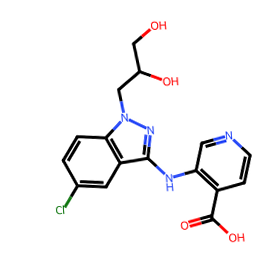 O=C(O)c1ccncc1Nc1nn(CC(O)CO)c2ccc(Cl)cc12